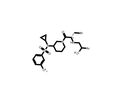 CC(=O)C(C)CN[C@@H](CC(C)C)C(=O)N1CCCC(N(C2CC2)S(=O)(=O)c2cccc(C(F)(F)F)c2)C1